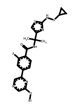 CCOc1cncc(-c2ccc(C(=O)NC(C)(C)c3csc(NSC4CC4)n3)c(F)c2)n1